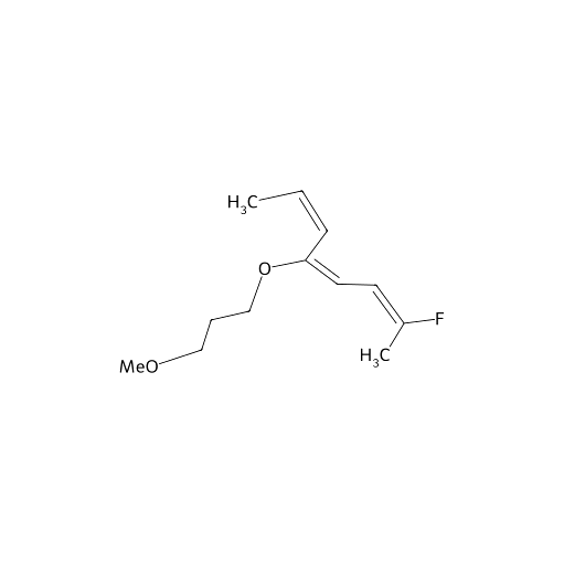 C\C=C/C(=C\C=C(/C)F)OCCCOC